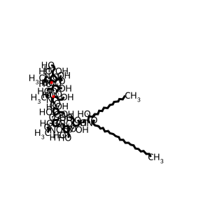 CCCCCCCCCCCCC/C=C/[C@@H](O)[C@H](CO[C@@H]1OC(CO)[C@@H](O[C@@H]2OC(CO)[C@H](O)[C@H](O[C@@H]3OC(CO)[C@@H](O[C@@H]4OC(CO)[C@H](O)[C@H](O[C@@H]5OC(CO)[C@@H](O[C@@H]6OC(CO)[C@H](O)[C@H](O[C@]7(C(=O)O)CC(O)[C@@H](NC(C)=O)C([C@H](O)[C@H](O)CO)O7)C6O)[C@H](O)C5NC(C)=O)C4O)[C@H](O)C3NC(C)=O)C2O)[C@H](O)C1O)NC(=O)CCCCCCCCCCCCCCCCCCCCCCC